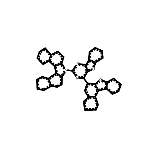 c1ccc2c(c1)cc(-c1nc(-n3c4ccc5ccccc5c4c4c5ccccc5ccc43)nc3c1oc1ccccc13)c1oc3ccccc3c12